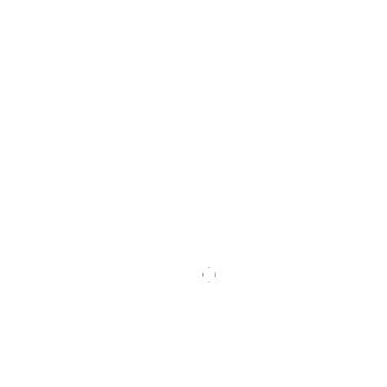 C=C/C=C\c1c(C)oc2cccc(C)c12